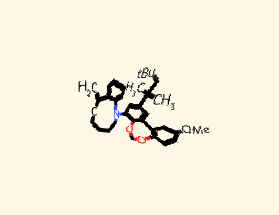 C=C1CCCCCN(c2cc(C(C)(C)CC(C)(C)C)cc3c2OCOc2ccc(OC)cc2-3)c2ccccc21